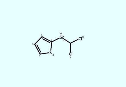 ClC(Cl)[SiH2]c1cccs1